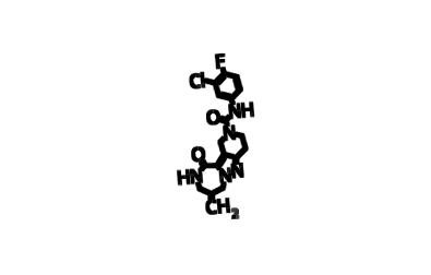 C=C1CNC(=O)c2c3c(nn2C1)CCN(C(=O)Nc1ccc(F)c(Cl)c1)C3